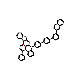 c1ccc(-c2ccccc2-c2ccccc2N(c2ccc(-c3ccc(-c4cccc(-c5ccc6ccccc6c5)c4)cc3)cc2)c2ccc3c(c2)oc2ccccc23)cc1